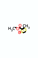 CCOC(=O)C1=C(C)SCC[S+]1[O-]